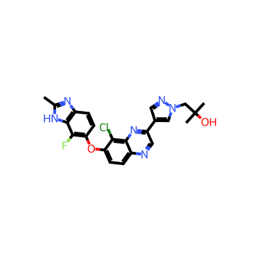 Cc1nc2ccc(Oc3ccc4ncc(-c5cnn(CC(C)(C)O)c5)nc4c3Cl)c(F)c2[nH]1